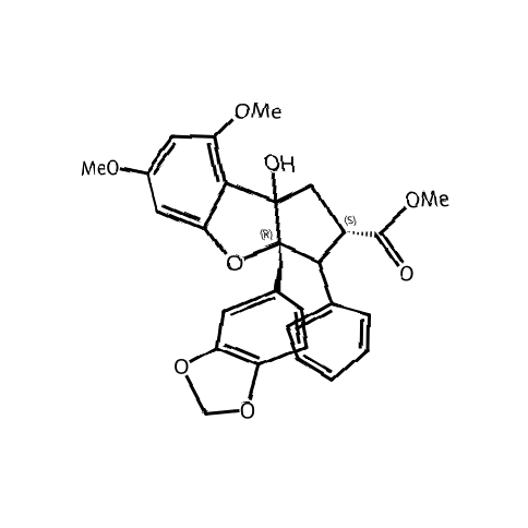 COC(=O)[C@H]1CC2(O)c3c(OC)cc(OC)cc3O[C@@]2(c2ccc3c(c2)OCO3)C1c1ccccc1